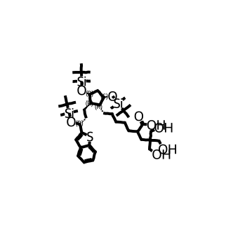 CC(C)(C)[Si](C)(C)O[C@H]1C[C@@H](O[Si](C)(C)C(C)(C)C)[C@H](CC[C@@H](O[Si](C)(C)C(C)(C)C)c2cc3ccccc3s2)[C@H]1CCCCCC(CC(CO)(CO)CO)C(=O)O